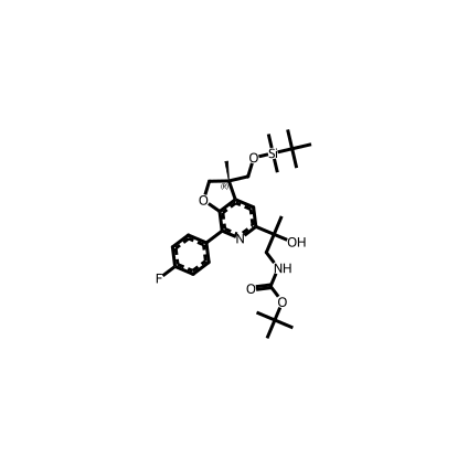 CC(C)(C)OC(=O)NCC(C)(O)c1cc2c(c(-c3ccc(F)cc3)n1)OC[C@]2(C)CO[Si](C)(C)C(C)(C)C